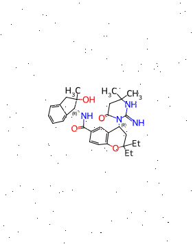 CCC1(CC)C[C@@H](N2C(=N)NC(C)(C)CC2=O)c2cc(C(=O)N[C@@H]3c4ccccc4CC3(C)O)ccc2O1